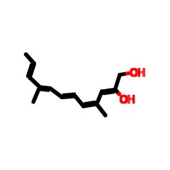 CC=CC(C)=CC=CC=C(C)C=C(O)CO